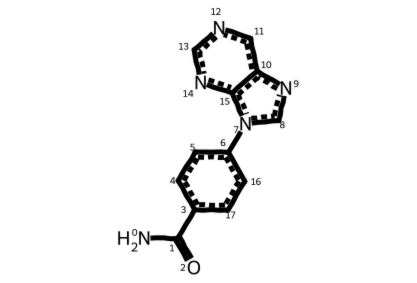 NC(=O)c1ccc(-n2cnc3cncnc32)cc1